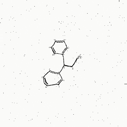 C[C](C)CC(c1ccccc1)c1ccccc1